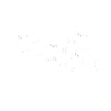 COc1cc2c(cc1Nc1ncc(Cl)c(-n3c(C(=O)N(C)C)cc4ccccc43)n1)CN(C)CC2